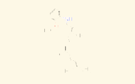 COc1ccccc1NCC=C(C)CCC=C(C)CCC=C(C)C